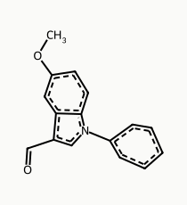 COc1ccc2c(c1)c(C=O)cn2-c1ccccc1